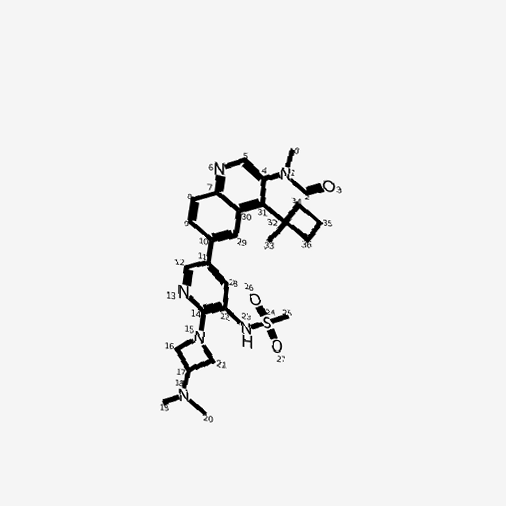 CN(C=O)c1cnc2ccc(-c3cnc(N4CC(N(C)C)C4)c(NS(C)(=O)=O)c3)cc2c1C1(C)CCC1